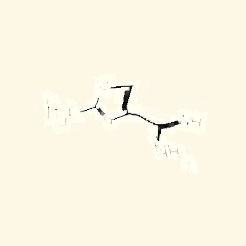 Cc1nc(C(=N)N)cs1